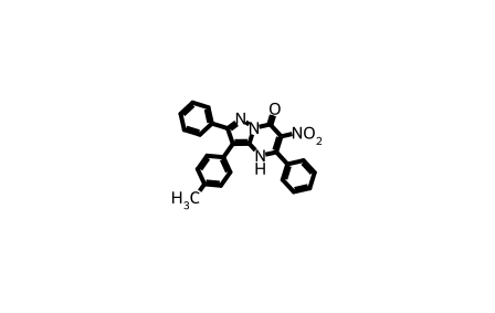 Cc1ccc(-c2c(-c3ccccc3)nn3c(=O)c([N+](=O)[O-])c(-c4ccccc4)[nH]c23)cc1